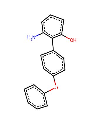 Nc1cccc(O)c1-c1ccc(Oc2ccccc2)cc1